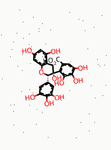 O=C(O)c1cc(O)c(O)c(O)c1[C@@]1(O)Cc2c(O)cc(O)cc2O[C@H]1c1cc(O)c(O)c(O)c1